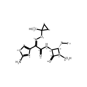 Nc1nc(C(=NOC2(C(=O)O)CC2)C(=O)N[C@@H]2C(=O)N(S(=O)(=O)O)[C@H]2CF)cs1